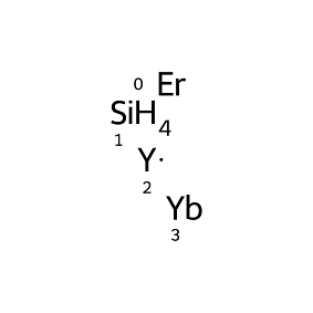 [Er].[SiH4].[Y].[Yb]